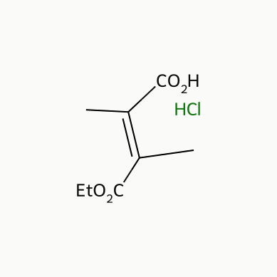 CCOC(=O)C(C)=C(C)C(=O)O.Cl